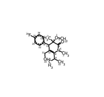 COC1(C)C(=O)N(C)C(C(C)C)=C(CO)C1c1ccc(F)cc1